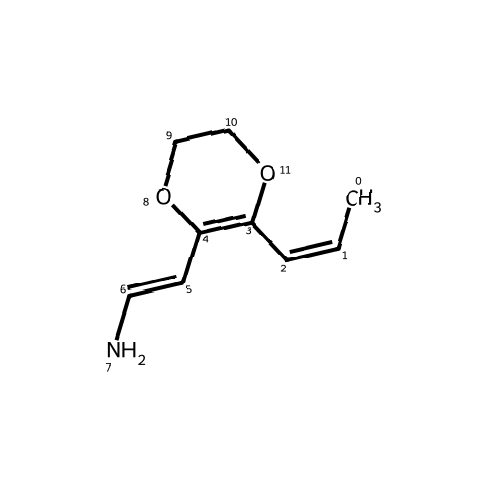 C/C=C\C1=C(/C=C/N)OCCO1